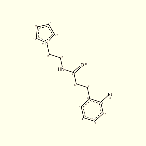 CCc1ccccc1CCC(=O)NCCn1cccc1